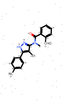 CCc1c(N(C)C(=O)c2ccccc2C=O)n[nH]c1-c1ccc(C#N)cc1